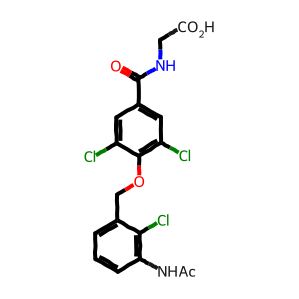 CC(=O)Nc1cccc(COc2c(Cl)cc(C(=O)NCC(=O)O)cc2Cl)c1Cl